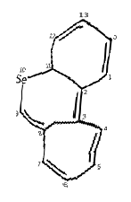 C1=CC2=c3ccccc3=C[Se]C2C=C1